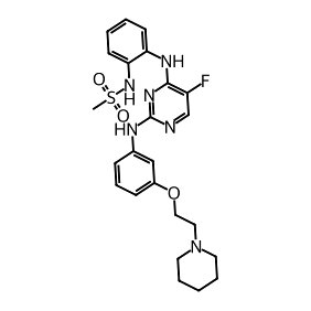 CS(=O)(=O)Nc1ccccc1Nc1nc(Nc2cccc(OCCN3CCCCC3)c2)ncc1F